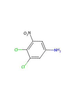 Nc1cc(Cl)c(Cl)c([N+](=O)[O-])c1